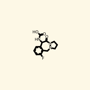 O=C(O)NC1C(=O)N2CCCN2Cc2c(F)cccc21